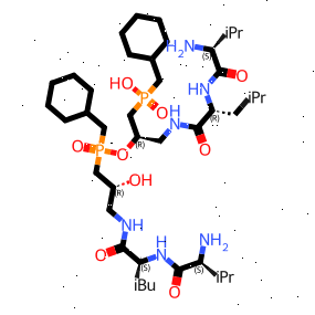 CCC(C)[C@H](NC(=O)[C@@H](N)C(C)C)C(=O)NC[C@@H](O)CP(=O)(CC1CCCCC1)O[C@H](CNC(=O)[C@@H](CC(C)C)NC(=O)[C@@H](N)C(C)C)CP(=O)(O)CC1CCCCC1